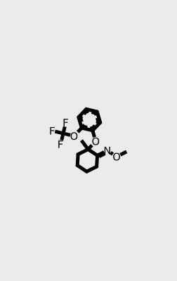 CON=C1CCCCC1(C)Oc1ccccc1OC(F)(F)F